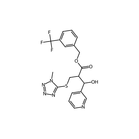 Cn1nnnc1SCC(C(=O)OCc1cccc(C(F)(F)F)c1)C(O)c1cccnc1